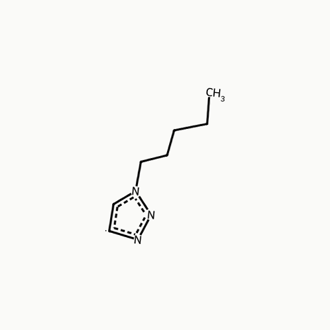 CCCCCn1c[c]nn1